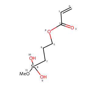 C=CC(=O)OCCC[Si](O)(O)OC